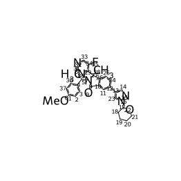 COc1ccc(C(C)N2C(=O)c3cc(-c4cnn(C5CCCCO5)c4)ccc3C2(C)c2ncncc2F)cc1